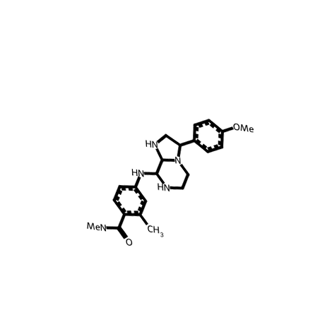 CNC(=O)c1ccc(NC2NCCN3C(c4ccc(OC)cc4)CNC23)cc1C